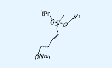 CCCCCCCCCCCCC[Si](C)(OC(C)C)OC(C)C